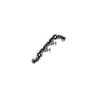 OC(COCOCC(O)COCC1CCC(COCC2CO2)CC1)COCC1CCC(COCC2CO2)CC1